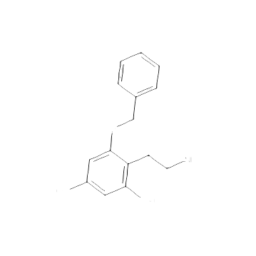 CC(C)(C)c1cc(OCc2ccccc2)c(CCN)c(C(C)(C)C)c1